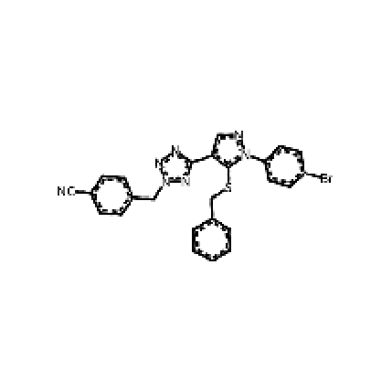 N#Cc1ccc(Cn2nnc(-c3cnn(-c4ccc(Br)cc4)c3SCc3ccccc3)n2)cc1